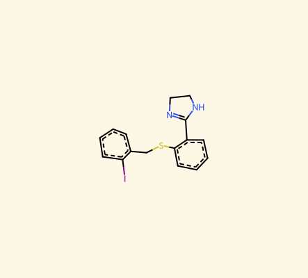 Ic1ccccc1CSc1ccccc1C1=NCCN1